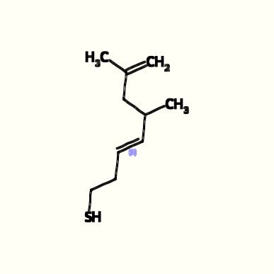 C=C(C)CC(C)/C=C/CCS